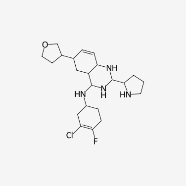 FC1=C(Cl)CC(NC2NC(C3CCCN3)NC3C=CC(C4CCOC4)CC32)CC1